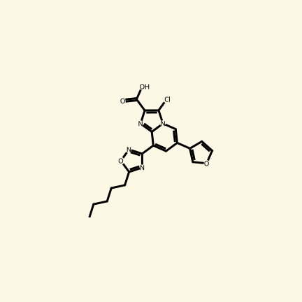 CCCCCc1nc(-c2cc(-c3ccoc3)cn3c(Cl)c(C(=O)O)nc23)no1